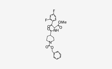 COC(=O)C(NC(=O)C1CCN(C(=O)OCc2ccccc2)CC1)C(=O)c1ccc(F)cc1F